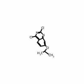 CC(C)Oc1ccc2c(Cl)nc(Cl)nc2c1